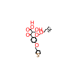 C[Si](C)(C)CCOCOc1cc(OCc2ccsc2)ccc1C(=O)C(CO)C(=O)O